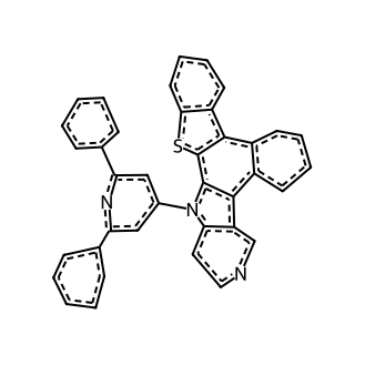 c1ccc(-c2cc(-n3c4ccncc4c4c5ccccc5c5c6ccccc6sc5c43)cc(-c3ccccc3)n2)cc1